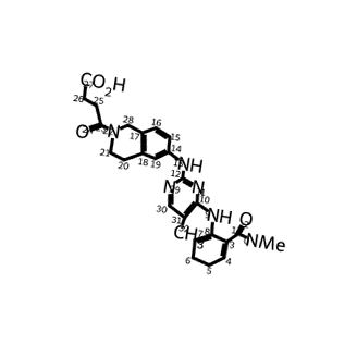 CNC(=O)C1=CCCC=C1Nc1nc(Nc2ccc3c(c2)CCN(C(=O)CCC(=O)O)C3)ncc1C